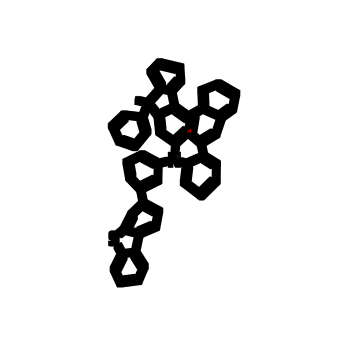 CC1(c2ccccc2)c2ccccc2-c2ccc(N(c3cccc(-c4ccc5c(c4)sc4ccccc45)c3)c3ccccc3-c3ccc4ccccc4c3)cc21